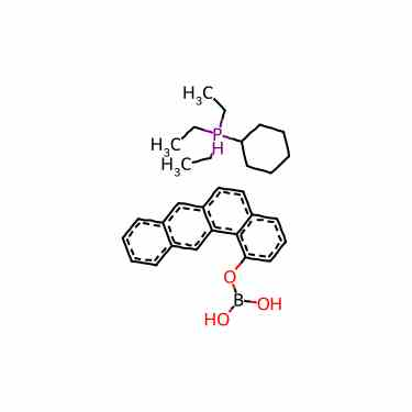 CC[PH](CC)(CC)C1CCCCC1.OB(O)Oc1cccc2ccc3cc4ccccc4cc3c12